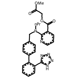 CCCN(Cc1ccc(-c2ccccc2-c2nnn[nH]2)cc1)c1ncccc1C(=O)OCC(=O)OC